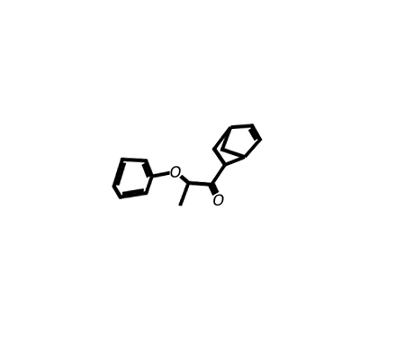 CC(Oc1ccccc1)C(=O)C1CC2C=CC1C2